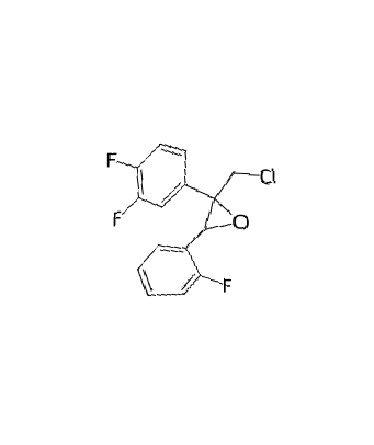 Fc1ccc(C2(CCl)OC2c2ccccc2F)cc1F